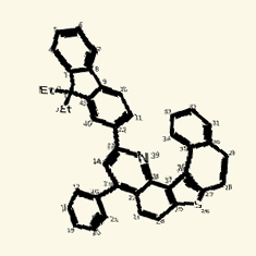 CCC1(CC)c2ccccc2-c2ccc(-c3cc(-c4ccccc4)c4ccc5sc6ccc7ccccc7c6c5c4n3)cc21